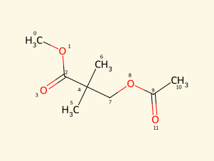 COC(=O)C(C)(C)COC(C)=O